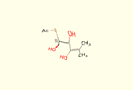 CC(=O)S[C@H](O)C(O)C(O)=C(C)C